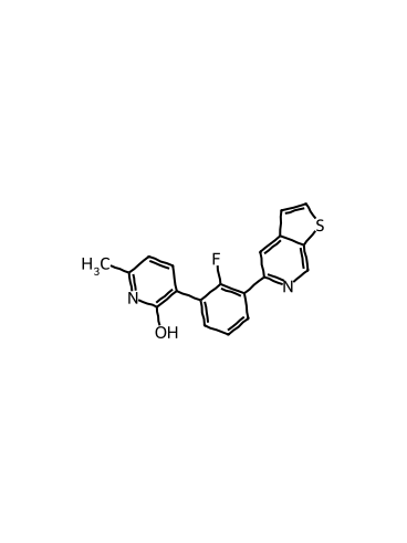 Cc1ccc(-c2cccc(-c3cc4ccsc4cn3)c2F)c(O)n1